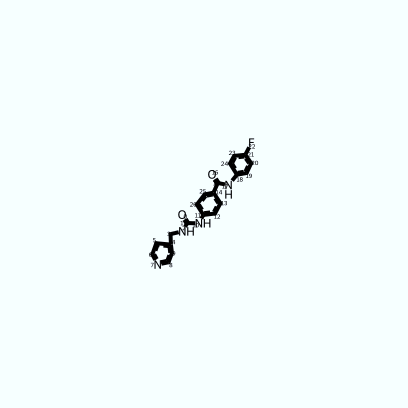 O=C(NCc1ccncc1)Nc1ccc(C(=O)Nc2ccc(F)cc2)cc1